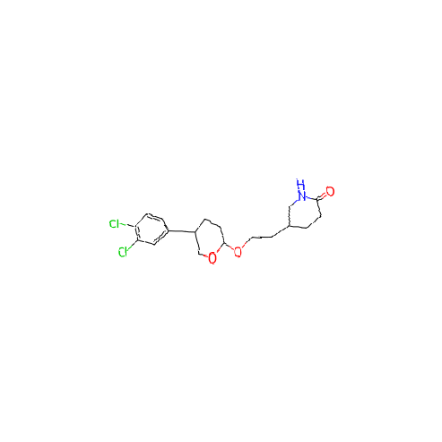 O=C1CCC(CCOC2CCC(c3ccc(Cl)c(Cl)c3)CO2)CN1